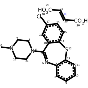 CN1CCN(C2=Nc3cccnc3Sc3ccc(Cl)cc32)CC1.O=C(O)/C=C/C(=O)O